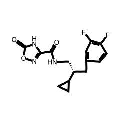 O=C(NC[C@H](Cc1ccc(F)c(F)c1)C1CC1)c1noc(=O)[nH]1